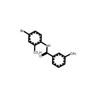 CC(=O)Oc1cccc(C(=O)Nc2ccc(Br)cc2C(=O)O)c1